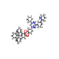 c1ccc(-c2cc(-c3ccc4c(c3)Oc3c(ccc5c3-c3ccccc3C5(c3ccccc3)c3ccccc3)O4)nc(-c3cccc(-c4ccccn4)c3)n2)cc1